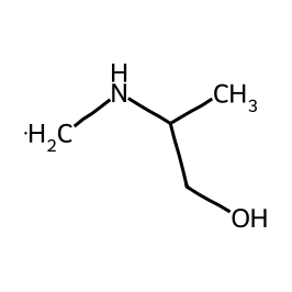 [CH2]NC(C)CO